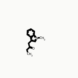 CCC(=O)Cc1cn(C)c2ccccc12